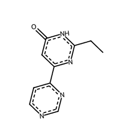 CCc1nc(-c2ccncn2)cc(=O)[nH]1